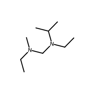 CCN(C)CN(CC)C(C)C